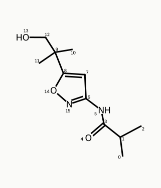 CC(C)C(=O)Nc1cc(C(C)(C)CO)on1